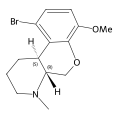 COc1ccc(Br)c2c1OC[C@H]1[C@H]2CCCN1C